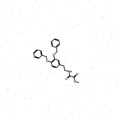 COC(=O)C(=O)NCCc1ccc(OCc2ccccc2)c(OCc2ccccc2)c1